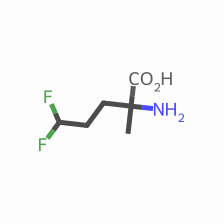 CC(N)(CCC(F)F)C(=O)O